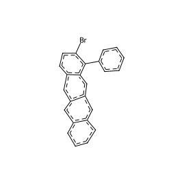 Brc1ccc2cc3cc4ccccc4cc3cc2c1-c1ccccc1